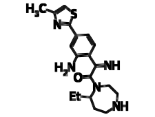 CCC1CCNCCN1C(=O)C(=N)c1ccc(-c2nc(C)cs2)cc1N